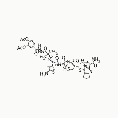 CC(=O)Oc1ccc(C(=O)NNC(=O)C(C)(C)O/N=C(\C(=O)N[C@@H]2C(=O)N3C(C(=O)O)=C(CSc4c5c(nc6c(C(N)=O)cnn46)CCC5)CS[C@H]23)c2csc(N)n2)cc1OC(C)=O